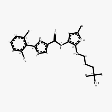 Cc1cc(NC(=O)c2csc(-c3c(F)cccc3F)n2)c(OCCCC(C)(C)O)s1